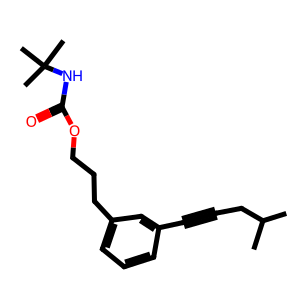 CC(C)CC#Cc1cccc(CCCOC(=O)NC(C)(C)C)c1